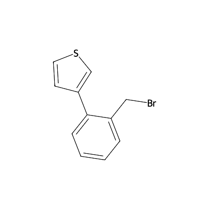 BrCc1ccccc1-c1ccsc1